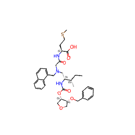 CC[C@H](C)[C@@H](CN(CC(=O)N[C@@H](CCSC)C(=O)O)Cc1cccc2ccccc12)NC(=O)O[C@H]1COC[C@H]1OCc1ccccc1